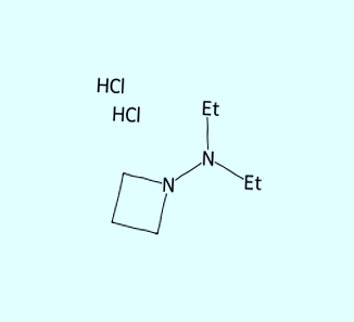 CCN(CC)N1CCC1.Cl.Cl